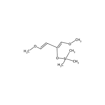 COC=CC(=COC)O[Si](C)(C)C